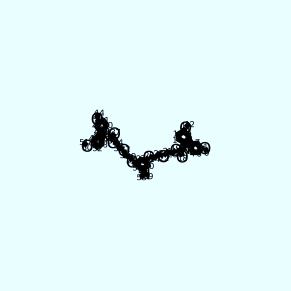 COc1ccc2c(c1)c1cc(OC)ccc1n2C(=O)OCCOCCOc1cc(OCCOCCOC(=O)n2c3ccc(OC)cc3c3cc(OC)ccc32)cc(N(C)C)c1